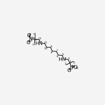 CC(C)(CNCCCCCCCNCC(C)(C)[N+](=O)[O-])[N+](=O)[O-]